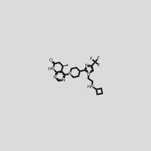 C[C@@H]1CC(=O)Nc2ncnc(N3CCC(c4nc(C(F)(F)F)cn4CCNC4CCC4)CC3)c21